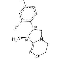 N[C@@H]1C2=NOCCN2C[C@H]1c1ccc(Cl)cc1F